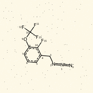 [N-]=[N+]=NCc1cccc(OC(F)(F)F)c1F